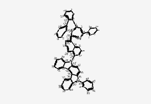 c1ccc(-c2cc(-c3ccccc3-c3ccccc3)nc(-c3cccc4c(-n5c6ccccc6c6c7c8ccccc8n(-c8ccccc8)c7ccc65)cccc34)n2)cc1